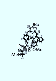 CC[C@H](C)[C@@H]([C@@H](CC(=O)N1CCC[C@H]1[C@H](OC)[C@@H](C)C(=O)N[C@@H](Cc1ccccc1)C(=O)NC(C)(C)C)OC)N(C)C(=O)[C@@H](NC(=O)C(C)(C)NC)C(C)C